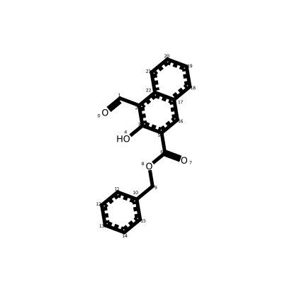 O=Cc1c(O)c(C(=O)OCc2ccccc2)cc2ccccc12